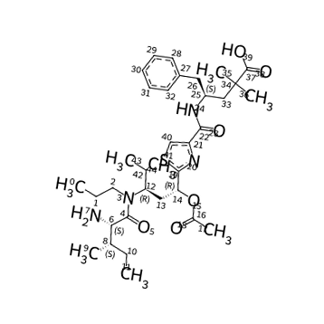 CCCN(C(=O)[C@@H](N)[C@@H](C)CC)[C@H](C[C@@H](OC(C)=O)c1nc(C(=O)N[C@@H](Cc2ccccc2)CC(C)(C)C(=O)O)cs1)C(C)C